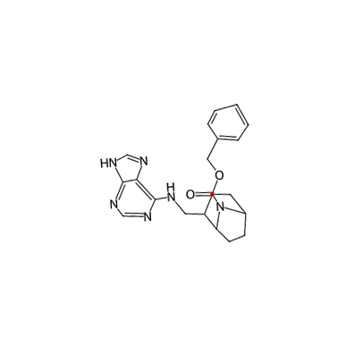 O=C(OCc1ccccc1)N1C2CCC(CNc3ncnc4[nH]cnc34)C1CC2